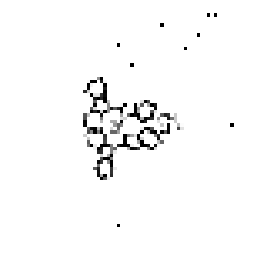 C1=C(n2c3c(c4ccccc42)CCCC3)[CH]([Zr][CH]2C(n3c4c(c5ccccc53)CCCC4)=Cc3ccccc32)c2ccccc21.CCl